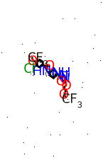 O=C(N[C@H]1CC[C@H](c2nnc(OCCOC(F)(F)F)o2)NC1)c1ccc(OC(F)(F)F)c(Cl)c1